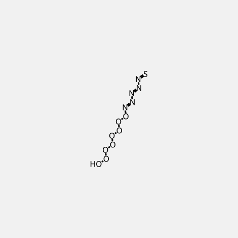 OOOOOOOO/N=N/N=N/N=S